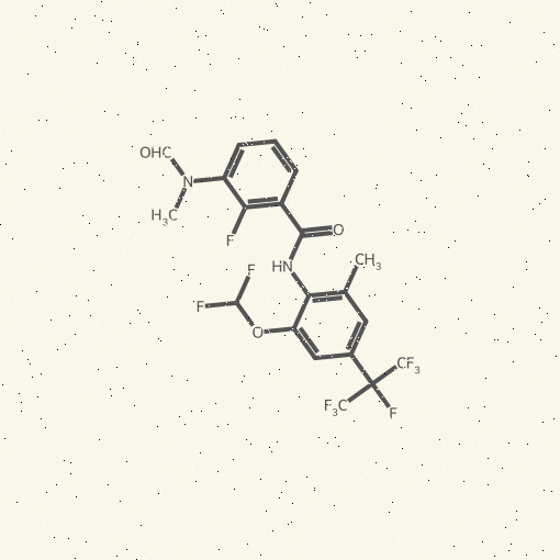 Cc1cc(C(F)(C(F)(F)F)C(F)(F)F)cc(OC(F)F)c1NC(=O)c1cccc(N(C)C=O)c1F